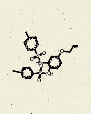 C=CCOc1ccc(NS(=O)(=O)c2ccc(C)cc2)c(NS(=O)(=O)c2ccc(C)cc2)c1